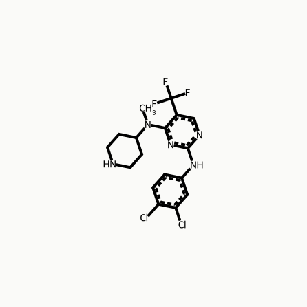 CN(c1nc(Nc2ccc(Cl)c(Cl)c2)ncc1C(F)(F)F)C1CCNCC1